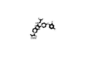 CO[C@H](C)C(=O)N1CCc2nc(NCC(F)F)c(N3CCC(Oc4ccc(F)cc4F)CC3)nc2C1